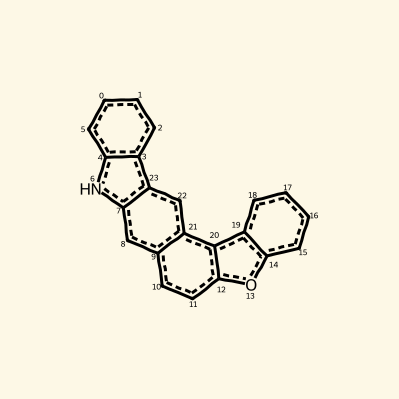 c1ccc2c(c1)[nH]c1cc3ccc4oc5ccccc5c4c3cc12